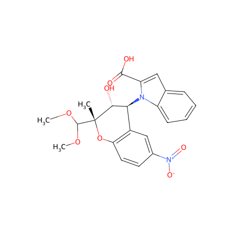 COC(OC)[C@@]1(C)Oc2ccc([N+](=O)[O-])cc2[C@H](n2c(C(=O)O)cc3ccccc32)[C@H]1O